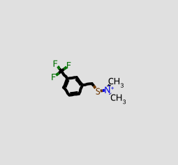 C[N+](C)SCc1cccc(C(F)(F)F)c1